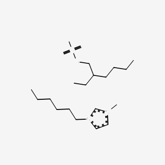 CCCCC(CC)COS(=O)(=O)[O-].CCCCCCn1cc[n+](C)c1